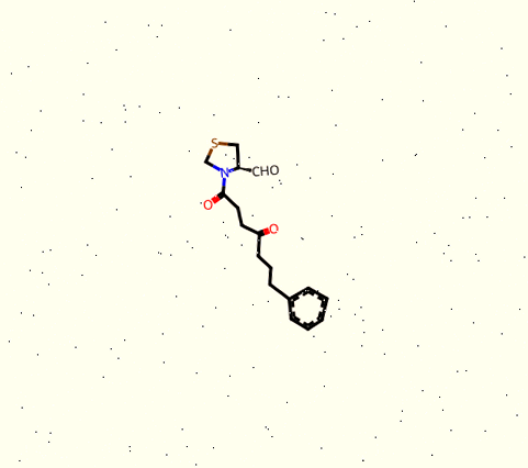 O=C[C@@H]1CSCN1C(=O)CCC(=O)CCCc1ccccc1